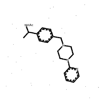 CC(=O)NC(C)c1ccc(CN2CCN(c3ccccn3)CC2)cc1